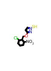 O=[N+]([O-])c1cccc(Cl)c1COc1ccn(S)n1